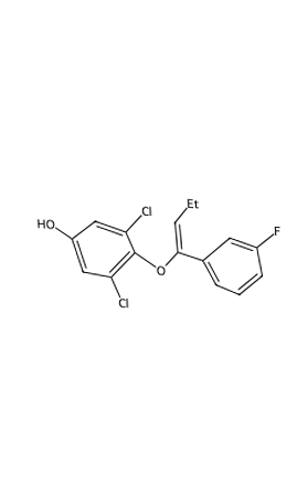 CCC=C(Oc1c(Cl)cc(O)cc1Cl)c1cccc(F)c1